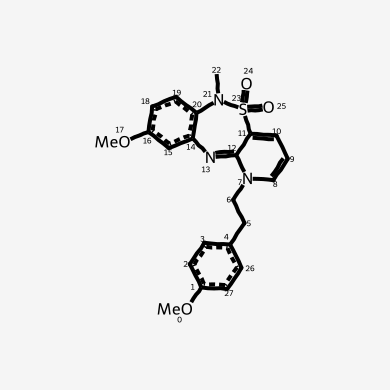 COc1ccc(CCN2C=CC=C3C2=Nc2cc(OC)ccc2N(C)S3(=O)=O)cc1